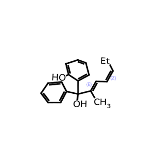 CC/C=C\C=C(/C)C(O)(c1ccccc1)c1ccccc1O